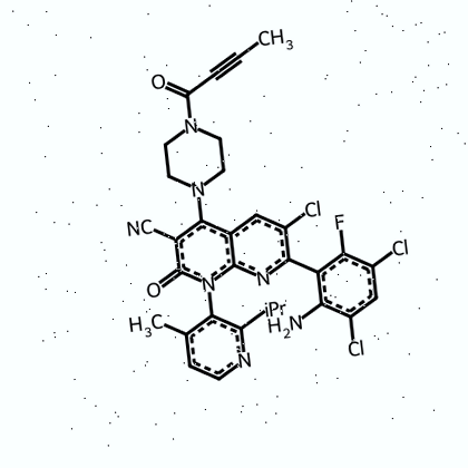 CC#CC(=O)N1CCN(c2c(C#N)c(=O)n(-c3c(C)ccnc3C(C)C)c3nc(-c4c(N)c(Cl)cc(Cl)c4F)c(Cl)cc23)CC1